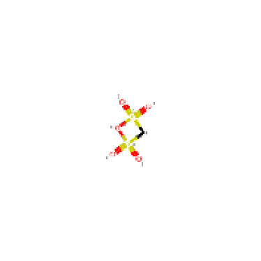 O=S1(=O)CS(=O)(=O)O1